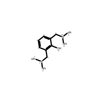 CCCN(CCC)Cc1cccc(CN(CCC)CCC)c1O